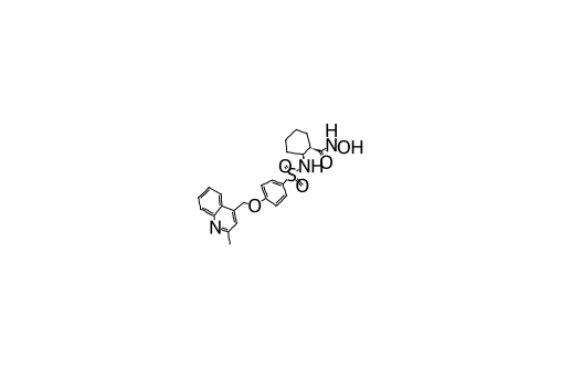 Cc1cc(COc2ccc(S(=O)(=O)N[C@H]3CCCC[C@H]3C(=O)NO)cc2)c2ccccc2n1